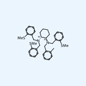 CSc1ccccc1CN(Cc1ccccc1C)[C@@H]1CCCC[C@H]1N(Cc1ccccc1SC)Cc1ccccc1SC